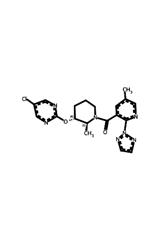 Cc1cnc(-n2nccn2)c(C(=O)N2CCC[C@@H](Oc3ncc(Cl)cn3)[C@@H]2C)c1